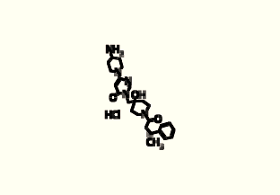 C[C@H](CC(=O)N1CCC(O)(Cn2cnc(N3CCC(N)CC3)cc2=O)CC1)c1ccccc1.Cl